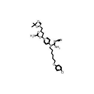 CC(C)(C)ON(C=O)CCCC(OC(N)=O)[n+]1ccc(N(CCCCCCOc2ccc(Cl)cc2)C(N)=NC#N)cc1